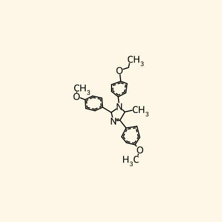 CCOc1ccc(N2C(C)C(c3ccc(OC)cc3)=NC2c2ccc(OC)cc2)cc1